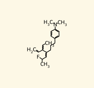 C=CC(=C/C)/C(=C\C(C)F)CCCc1ccc(N(C)C)cc1